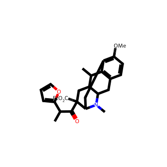 CCOC(=O)C1(C(=O)C(C)c2ccco2)CC2C(C)c3c4ccc(OC)c3CC1N(C)C2C4